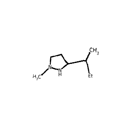 CCC(C)C1CCN(C)N1